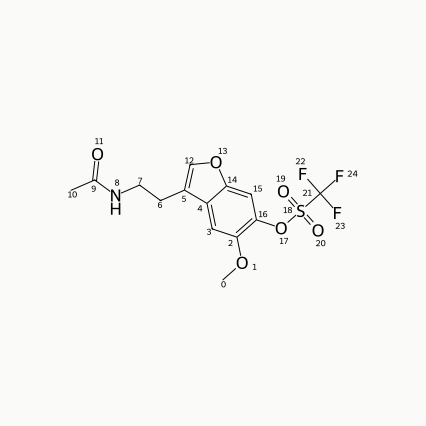 COc1cc2c(CCNC(C)=O)coc2cc1OS(=O)(=O)C(F)(F)F